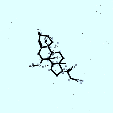 COC[C@]12CCC(=O)C=C1CC(SC(C)=O)[C@@H]1[C@@H]2CC[C@]2(C)[C@@H](C(=O)COC(C)=O)CC[C@@H]12